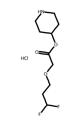 Cl.O=C(COCCC(F)F)OC1CCNCC1